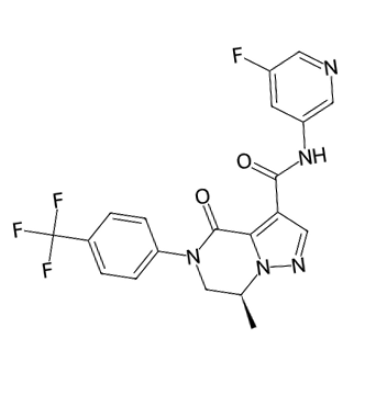 C[C@H]1CN(c2ccc(C(F)(F)F)cc2)C(=O)c2c(C(=O)Nc3cncc(F)c3)cnn21